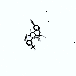 CC1(C)Oc2ccc(C#N)cc2C(N/C(=N/C#N)Nc2cccc(C(F)(F)F)c2)C1O